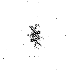 CCCCCCN(CCCCCC)c1cc(NC(C)=O)c(C2C(O)C(c3c(NC(C)=O)cc(N(CCCCCC)CCCCCC)c4cc5ccccc5cc34)C2O)c2cc3ccccc3cc12